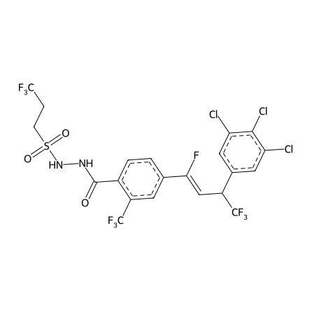 O=C(NNS(=O)(=O)CCC(F)(F)F)c1ccc(C(F)=CC(c2cc(Cl)c(Cl)c(Cl)c2)C(F)(F)F)cc1C(F)(F)F